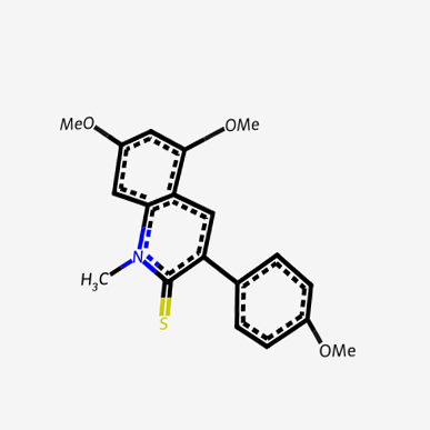 COc1ccc(-c2cc3c(OC)cc(OC)cc3n(C)c2=S)cc1